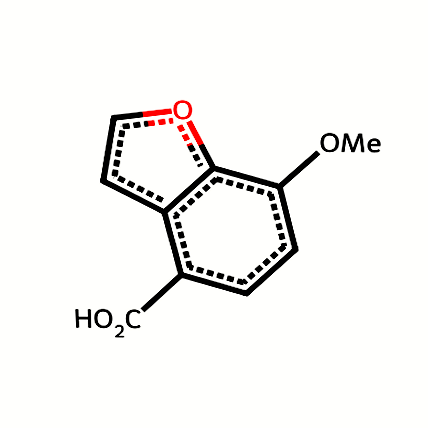 COc1ccc(C(=O)O)c2ccoc12